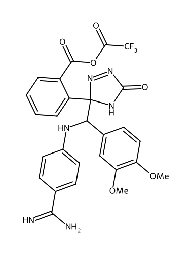 COc1ccc(C(Nc2ccc(C(=N)N)cc2)C2(c3ccccc3C(=O)OC(=O)C(F)(F)F)N=NC(=O)N2)cc1OC